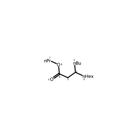 CCCCCCC(CCCC)CC(=O)OCCC